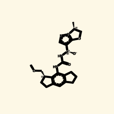 COC[C@H]1CCc2cc3c(c(NC(=O)N[S@@+]([O-])c4cnn5c4OC[C@H]5C)c21)CCC3